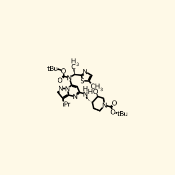 Cc1cnc([C@H](C)N(C(=O)OC(C)(C)C)c2cc(NC[C@H]3CCN(C(=O)OC(C)(C)C)C[C@@H]3O)nc3c(C(C)C)cnn23)s1